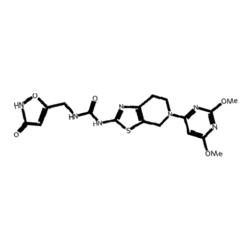 COc1cc(N2CCc3nc(NC(=O)NCc4cc(=O)[nH]o4)sc3C2)nc(OC)n1